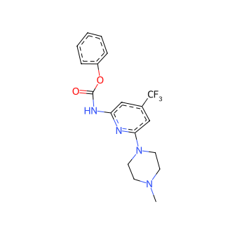 CN1CCN(c2cc(C(F)(F)F)cc(NC(=O)Oc3ccccc3)n2)CC1